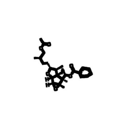 CC(=O)OC[C@H](C)CC[C@H]1O[C@@H]2[C@H]([C@@H]1C)[C@@](C)([C@@H](C)OC(=O)c1ccccc1)[C@]1(C)O[C@H]21